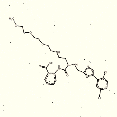 COCCOCCOCCNCCC(NCc1ncc(-c2cc(Cl)ccc2Cl)o1)C(=O)Nc1ccccc1C(=O)O